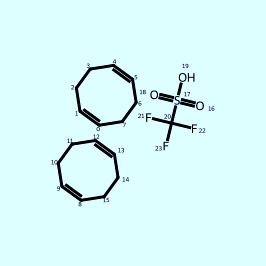 C1=CCCC=CCC1.C1=CCCC=CCC1.O=S(=O)(O)C(F)(F)F